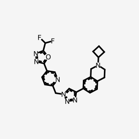 FC(F)c1nnc(-c2ccc(Cn3cc(-c4ccc5c(c4)CN(C4CCC4)CC5)nn3)nc2)o1